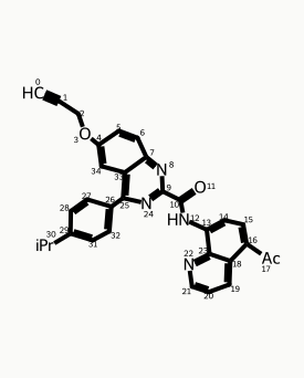 C#CCOc1ccc2nc(C(=O)Nc3ccc(C(C)=O)c4cccnc34)nc(-c3ccc(C(C)C)cc3)c2c1